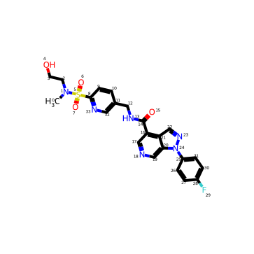 CN(CCO)S(=O)(=O)c1ccc(CNC(=O)c2cncc3c2cnn3-c2ccc(F)cc2)cn1